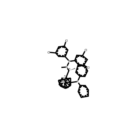 C[C@@H](N(C)P(c1cc(Cl)cc(Cl)c1)c1cc(Cl)cc(Cl)c1)[C@@]12[CH]3[CH]4[CH]5[C]1(P(c1ccccc1)c1ccccc1)[Fe]45321678[CH]2[CH]1[CH]6[CH]7[CH]28